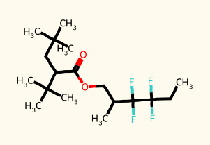 CCC(F)(F)C(F)(F)C(C)COC(=O)C(CC(C)(C)C)C(C)(C)C